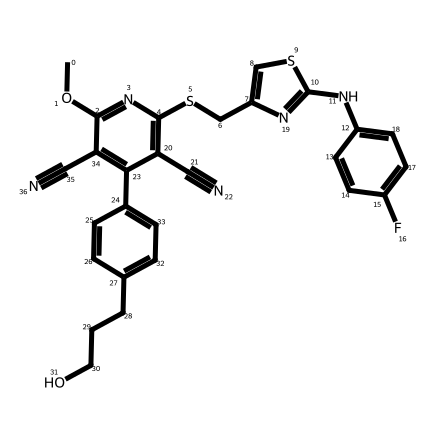 COc1nc(SCc2csc(Nc3ccc(F)cc3)n2)c(C#N)c(-c2ccc(CCCO)cc2)c1C#N